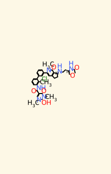 COc1nc(-c2cccc(-c3cccc(NC(=O)C4=CN(C)C(O)N(C)C4=O)c3C)c2Cl)cc2c1[C@@H](NCC[C@@H]1COCC(=O)N1)CC2